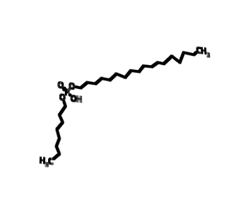 CCCCCCCCCCCCCCCCCCOP(=O)(O)OCCCCCCCC